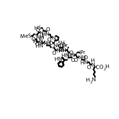 CSCC[C@H](NC(=O)[C@H](C)N)C(=O)N[C@@H](CS)C(=O)NCC(=O)N1CCC[C@H]1C(=O)N[C@@H](CCCNC(=N)N)C(=O)N[C@@H](CS)C(=O)N[C@@H](CC(C)C)C(=O)N[C@@H](Cc1c[nH]c2ccccc12)C(=O)N[C@@H](CC(C)C)C(=O)NCC(=O)NCC(=O)N[C@@H](CCCCN)C(=O)O